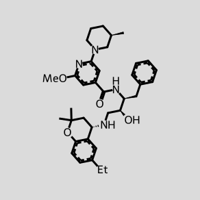 CCc1ccc2c(c1)[C@@H](NC[C@H](O)[C@H](Cc1ccccc1)NC(=O)c1cc(OC)nc(N3CCC[C@@H](C)C3)c1)CC(C)(C)O2